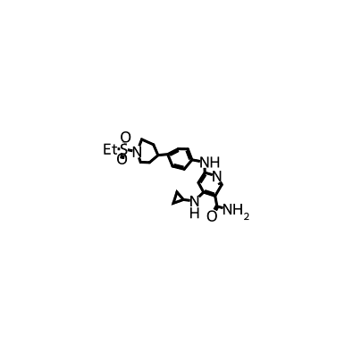 CCS(=O)(=O)N1CCC(c2ccc(Nc3cc(NC4CC4)c(C(N)=O)cn3)cc2)CC1